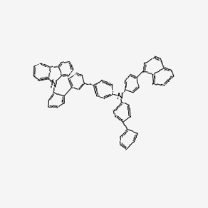 c1ccc(-c2ccc(N(c3ccc(-c4cccc(-c5ccccc5-n5c6ccccc6c6ccccc65)c4)cc3)c3ccc(-c4cccc5ccccc45)cc3)cc2)cc1